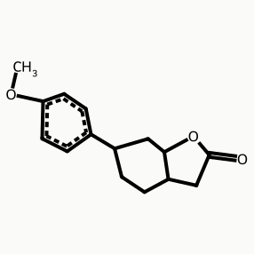 COc1ccc(C2CCC3CC(=O)OC3C2)cc1